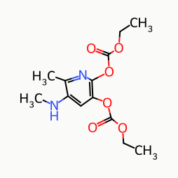 CCOC(=O)Oc1cc(NC)c(C)nc1OC(=O)OCC